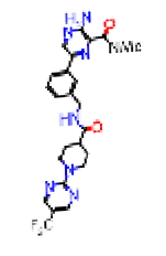 CNC(=O)c1nc(-c2cccc(CNC(=O)C3CCN(c4ncc(C(F)(F)F)cn4)CC3)c2)cnc1N